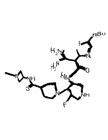 CCCCC(F)/C=N\C(C)C(C(=O)NC1CNCC(F)C1N1CCC(C(=O)NC2CN(C)C2)CC1)C(N)N